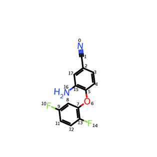 N#Cc1ccc(Oc2cc(F)ccc2F)c(N)c1